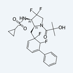 CC(C)(O)C(=O)N1CC(F)(F)[C@H](NS(=O)(=O)C2CC2)[C@@H]1CC1(F)C=CC=C(c2ccccc2)C1F